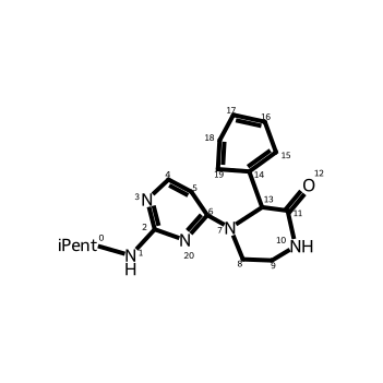 CCCC(C)Nc1nccc(N2CCNC(=O)C2c2ccccc2)n1